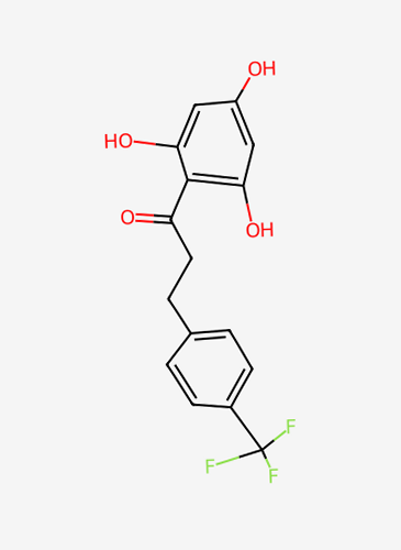 O=C(CCc1ccc(C(F)(F)F)cc1)c1c(O)cc(O)cc1O